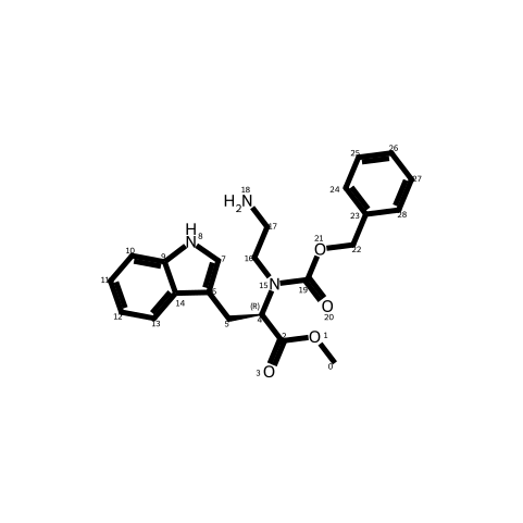 COC(=O)[C@@H](Cc1c[nH]c2ccccc12)N(CCN)C(=O)OCc1ccccc1